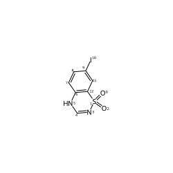 O=S1(=O)N=CNc2ccc(I)cc21